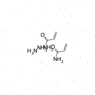 C=CC(N)=O.C=CC(N)=O.N.N